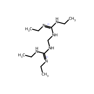 CC/N=C(/NCC)NCN/C(=N/CC)NCC